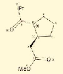 COC(=O)C[C@@H]1CCC[C@H]1C(=O)C(C)C